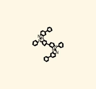 c1ccc(-c2ccc3nc4n(-c5ccccc5)c5ccc(-c6ccc7c(c6)n6c8cc(-c9ccccc9)ccc8nc6n7-c6ccccc6)cc5n4c3c2)cc1